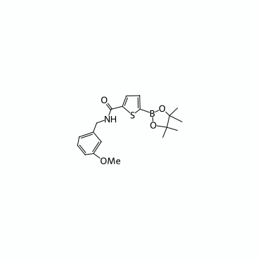 COc1cccc(CNC(=O)c2ccc(B3OC(C)(C)C(C)(C)O3)s2)c1